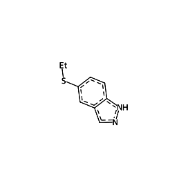 CCSc1ccc2[nH]ncc2c1